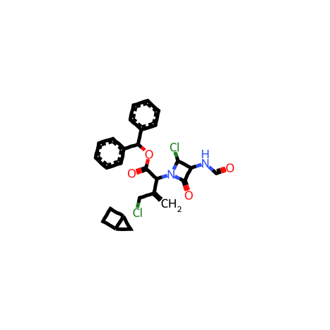 C1CC2CC12.C=C(CCl)C(C(=O)OC(c1ccccc1)c1ccccc1)N1C(=O)C(NC=O)C1Cl